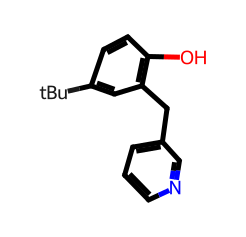 CC(C)(C)c1ccc(O)c(Cc2cccnc2)c1